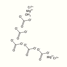 O.O=C([O-])[O-].O=C([O-])[O-].O=C([O-])[O-].O=C([O-])[O-].O=C([O-])[O-].[Cr+3].[Cr+3].[Mg+2].[Mg+2]